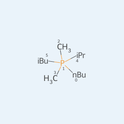 CCCCP(C)(C)(C(C)C)C(C)CC